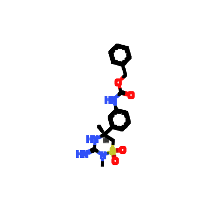 CN1C(=N)N[C@](C)(c2cccc(NC(=O)OCc3ccccc3)c2)CS1(=O)=O